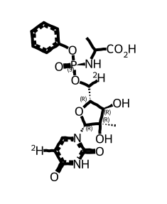 [2H]c1cn([C@@H]2O[C@H](C([2H])O[P@@](=O)(NC(C)C(=O)O)Oc3ccccc3)[C@@H](O)[C@@]2(C)O)c(=O)[nH]c1=O